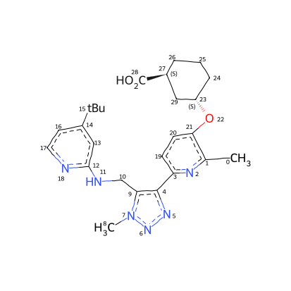 Cc1nc(-c2nnn(C)c2CNc2cc(C(C)(C)C)ccn2)ccc1O[C@H]1CCC[C@H](C(=O)O)C1